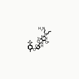 CCCN(CCN)c1nc(OC)c(NC(=O)c2ccc(Oc3cc([Si](C)(C)C)ccc3C)o2)c(OC)n1